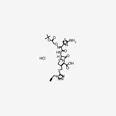 C#CCn1nnnc1SCC1=C(C(=O)O)N2C(=O)C(NC(=O)C(=NOCC(=O)OC(C)(C)C)c3csc(N)n3)[C@@H]2SC1.Cl